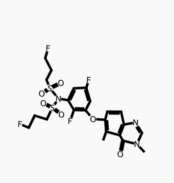 Cc1c(Oc2cc(F)cc(N(S(=O)(=O)CCCF)S(=O)(=O)CCCF)c2F)ccc2ncn(C)c(=O)c12